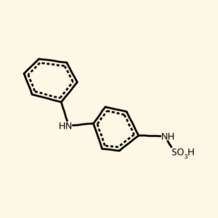 O=S(=O)(O)Nc1ccc(Nc2ccccc2)cc1